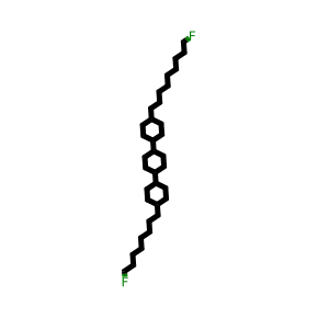 FCCCCCCCCCC1CCC(C2CCC(C3CCC(CCCCCCCCF)CC3)CC2)CC1